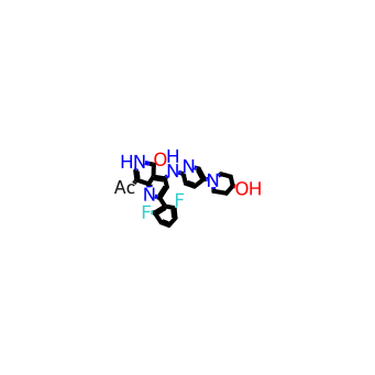 CC(=O)c1c[nH]c(=O)c2c(Nc3ccc(N4CCC(O)CC4)cn3)cc(-c3c(F)cccc3F)nc12